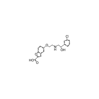 O=C(O)c1cc2cc(OCCNCC(O)c3cccc(Cl)c3)ccc2o1